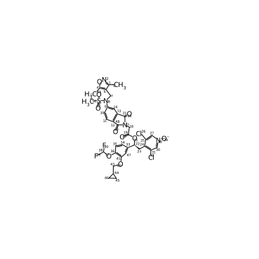 Cc1noc(C)c1CN(c1ccc2c(c1)C(=O)N(CC(=O)O[C@@H](Cc1c(Cl)c[n+]([O-])cc1Cl)c1ccc(OC(F)F)c(OCC3CC3)c1)C2=O)S(C)(=O)=O